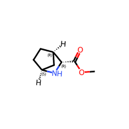 COC(=O)[C@@H]1N[C@H]2CC[C@@H]1C2